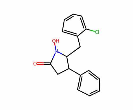 O=C1CC(c2ccccc2)C(Cc2ccccc2Cl)N1O